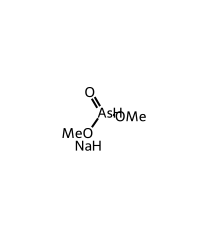 CO[AsH](=O)OC.[NaH]